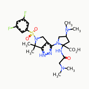 CN(C)CC(=O)NC1(C(=O)O)CC(N(C)C)CN1c1n[nH]c2c1CN(S(=O)(=O)c1cc(F)cc(F)c1)C2(C)C